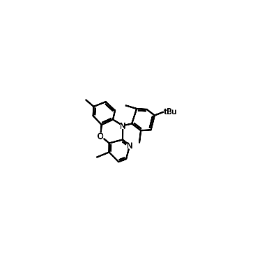 Cc1ccc2c(c1)Oc1c(C)ccnc1N2c1c(C)cc(C(C)(C)C)cc1C